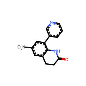 O=C1CCc2cc([N+](=O)[O-])cc(-c3cccnc3)c2N1